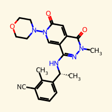 Cc1c(C#N)cccc1[C@@H](C)Nc1nn(C)c(=O)c2cc(=O)n(N3CCOCC3)cc12